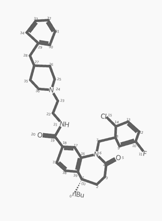 CCCC[C@H]1CCC(=O)N(CC2C=C(F)C=CC2Cl)c2cc(C(=O)NCCN3CCC(Cc4ccccc4)CC3)ccc21